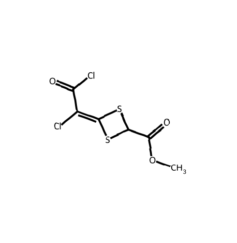 COC(=O)C1SC(=C(Cl)C(=O)Cl)S1